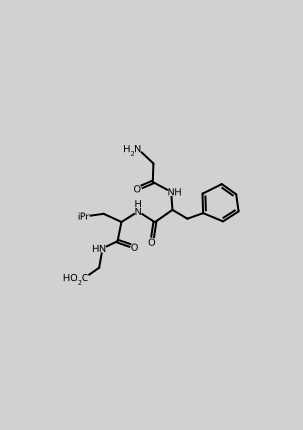 CC(C)CC(NC(=O)C(Cc1ccccc1)NC(=O)CN)C(=O)NCC(=O)O